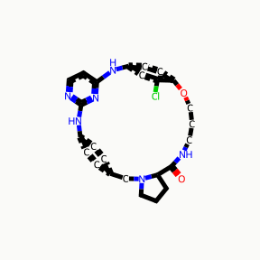 O=C1NCCCOc2ccc(cc2Cl)Nc2ccnc(n2)Nc2ccc(cc2)CN2CCCC12